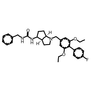 CCOc1cc(CN2CC[C@H]3C(NC(=O)NCc4ccccc4)CC[C@H]32)cc(OCC)c1-c1ccc(F)cc1